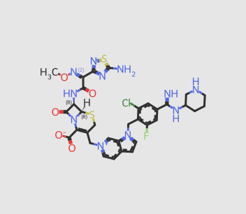 CO/N=C(\C(=O)N[C@@H]1C(=O)N2C(C(=O)[O-])=C(C[n+]3ccc4ccn(Cc5c(F)cc(C(=N)NC6CCCNC6)cc5Cl)c4c3)CS[C@H]12)c1nsc(N)n1